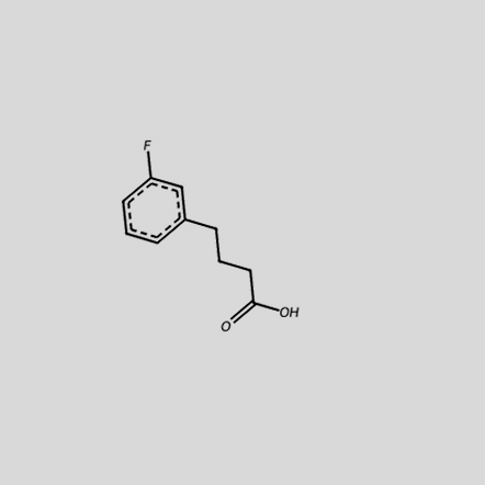 O=C(O)CCCc1cccc(F)c1